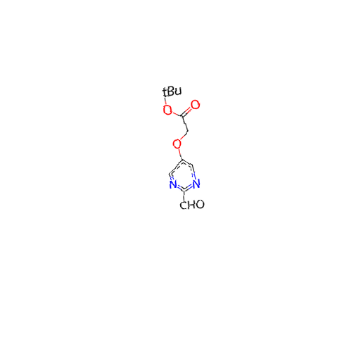 CC(C)(C)OC(=O)COc1cnc(C=O)nc1